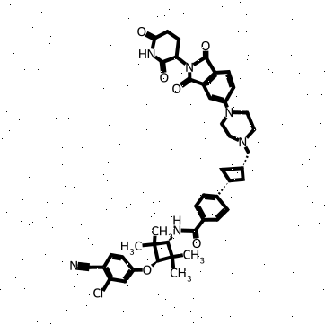 CC1(C)[C@H](NC(=O)c2ccc([C@H]3C[C@@H](CN4CCN(c5ccc6c(c5)C(=O)N(C5CCC(=O)NC5=O)C6=O)CC4)C3)cc2)C(C)(C)[C@H]1Oc1ccc(C#N)c(Cl)c1